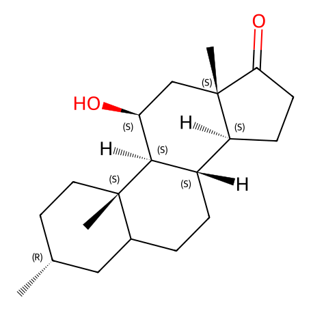 C[C@@H]1CC[C@@]2(C)C(CC[C@@H]3[C@@H]2[C@@H](O)C[C@]2(C)C(=O)CC[C@@H]32)C1